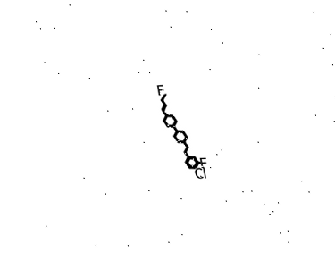 FCCC=CC1CCC(C2CCC(CCc3ccc(Cl)c(F)c3)CC2)CC1